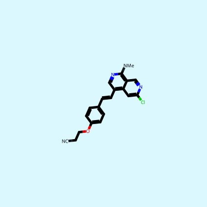 CNc1ncc(/C=C/c2ccc(OCCC#N)cc2)c2cc(Cl)ncc12